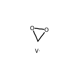 C1OO1.[V]